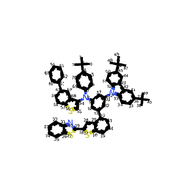 CC(C)(C)c1ccc(N(c2cc(-c3cccc4sc(-c5nc6ccccc6s5)cc34)cc(-n3c4ccc(C(C)(C)C)cc4c4cc(C(C)(C)C)ccc43)c2)c2csc3ccc(-c4ccccc4)cc23)cc1